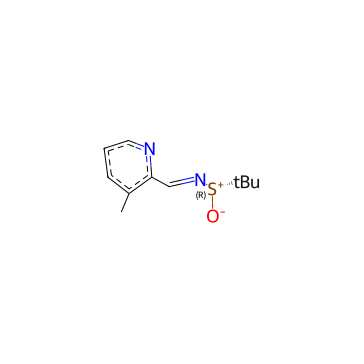 Cc1cccnc1C=N[S@@+]([O-])C(C)(C)C